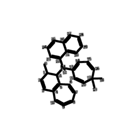 CC1C=CC2=C(C=CC=C=C2)C1N(C1=CC=CC(C)(C)C=C1)c1cccc2ccccc12